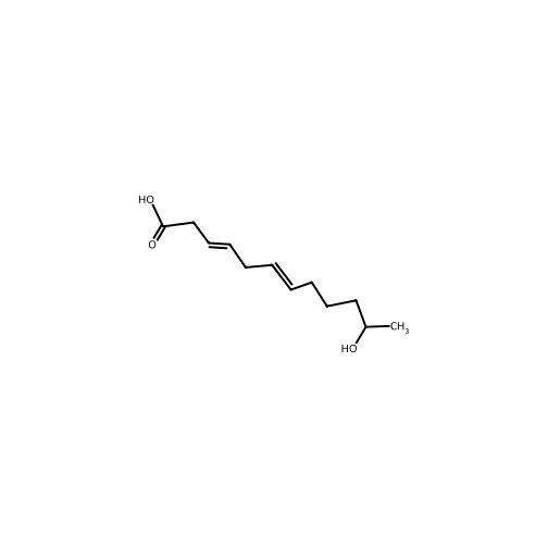 CC(O)CCCC=CCC=CCC(=O)O